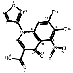 O=C(O)c1cn(-c2ccon2)c2cc(F)c(F)c([N+](=O)[O-])c2c1=O